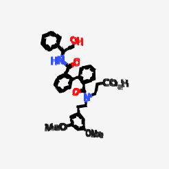 COc1cc(CCN(CCC(=O)O)C(=O)c2ccccc2-c2ccccc2C(=O)N[C@H](CO)c2ccccc2)cc(OC)c1